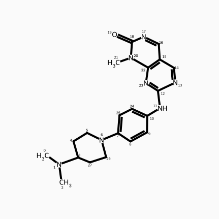 CN(C)C1CCN(c2ccc(Nc3ncc4cnc(=O)n(C)c4n3)cc2)CC1